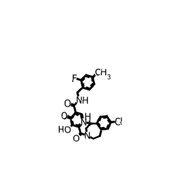 Cc1ccc(CNC(=O)c2cn3c(c(O)c2=O)C(=O)N2CCc4cc(Cl)ccc4[C@@H]3C2)c(F)c1